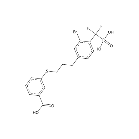 O=C(O)c1cccc(SCCCc2ccc(C(F)(F)P(=O)(O)O)c(Br)c2)c1